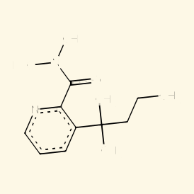 CCCC(C)(C)c1cccnc1C(=O)N(C)C